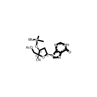 CC(=O)OC[C@@]1(C#N)O[C@H](n2cnc3c(=O)[nH]cnc32)C[C@@H]1O[Si](C)(C)C(C)(C)C